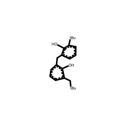 CC(C)(C)Cc1cccc(Cc2cccc(C(C)(C)C)c2O)c1O